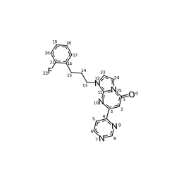 O=c1cc(-c2ccncn2)nc2n(CCCc3ccccc3F)ccn12